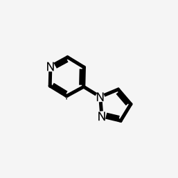 [c]1cnccc1-n1cccn1